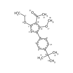 CCOc1sc(-c2ccc(C(C)(C)C)cc2)c(OC)c1C(C)=O